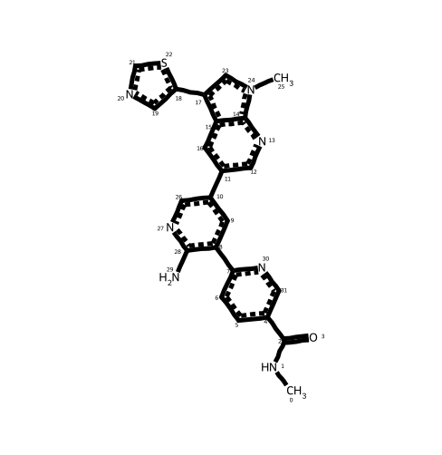 CNC(=O)c1ccc(-c2cc(-c3cnc4c(c3)c(-c3cncs3)cn4C)cnc2N)nc1